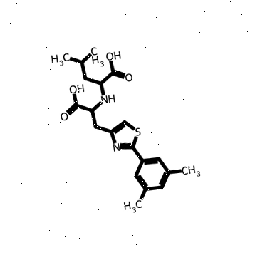 Cc1cc(C)cc(-c2nc(CC(NC(CC(C)C)C(=O)O)C(=O)O)cs2)c1